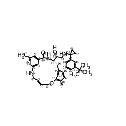 Cc1cc2cc(n1)NC/C=C/COc1cc(ccc1F)C[C@@H]([C@H](O)CNC1(c3cccc(C(C)(C)C)c3)CC1)NC2=O